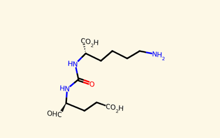 NCCCC[C@H](NC(=O)N[C@H](C=O)CCC(=O)O)C(=O)O